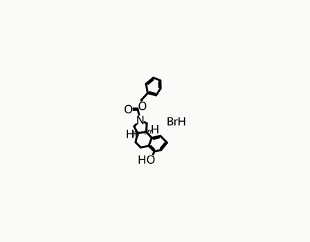 Br.O=C(OCc1ccccc1)N1C[C@@H]2CCc3c(O)cccc3[C@@H]2C1